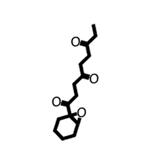 CCC(=O)CCC(=O)CCC(=O)C12CCCCC1O2